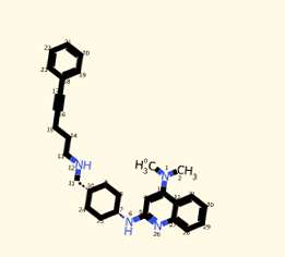 CN(C)c1cc(N[C@H]2CC[C@@H](CNCCCC#Cc3ccccc3)CC2)nc2ccccc12